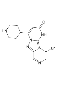 O=c1cc(C2CCNCC2)n2nc3cncc(Br)c3c2[nH]1